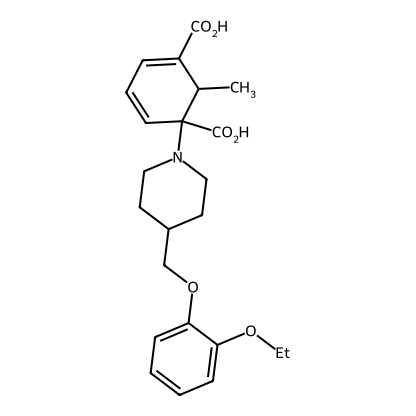 CCOc1ccccc1OCC1CCN(C2(C(=O)O)C=CC=C(C(=O)O)C2C)CC1